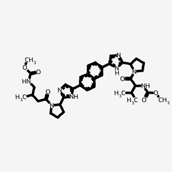 COC(=O)NCC(C)CC(=O)N1CCCC1c1ncc(-c2ccc3cc(-c4cnc(C5CCCN5C(=O)C(NC(=O)OC)C(C)C)[nH]4)ccc3c2)[nH]1